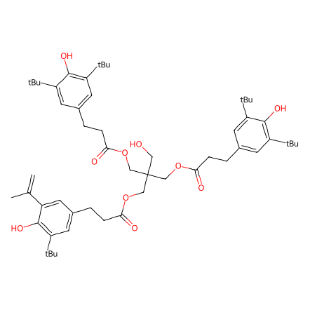 C=C(C)c1cc(CCC(=O)OCC(CO)(COC(=O)CCc2cc(C(C)(C)C)c(O)c(C(C)(C)C)c2)COC(=O)CCc2cc(C(C)(C)C)c(O)c(C(C)(C)C)c2)cc(C(C)(C)C)c1O